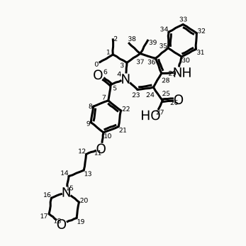 CC(C)C1N(C(=O)c2ccc(OCCCN3CCOCC3)cc2)C=C(C(=O)O)c2[nH]c3ccccc3c2C1(C)C